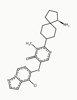 Cn1c(C2CCC3(CCC[C@H]3N)CC2)ncc(Sc2ccn3nccc3c2Cl)c1=O